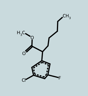 CCCCCC(C(=O)OC)c1cc(F)cc(Cl)c1